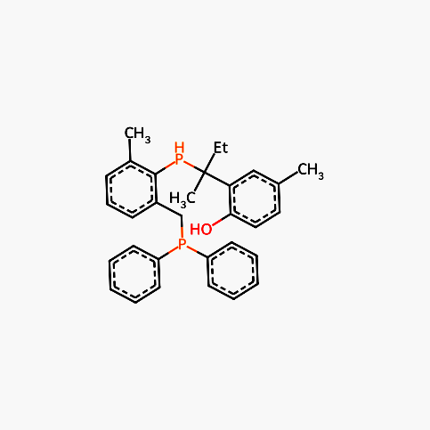 CCC(C)(Pc1c(C)cccc1CP(c1ccccc1)c1ccccc1)c1cc(C)ccc1O